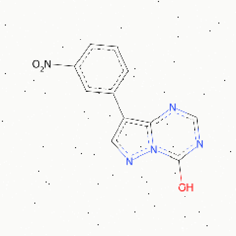 O=[N+]([O-])c1cccc(-c2cnn3c(O)ncnc23)c1